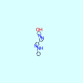 OC1CCN(c2cc(-c3ccnc(NCc4ccccc4)c3)ccn2)CC1